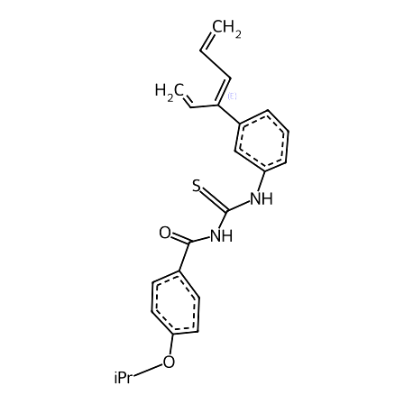 C=C/C=C(\C=C)c1cccc(NC(=S)NC(=O)c2ccc(OC(C)C)cc2)c1